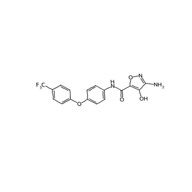 Nc1noc(C(=O)Nc2ccc(Oc3ccc(C(F)(F)F)cc3)cc2)c1O